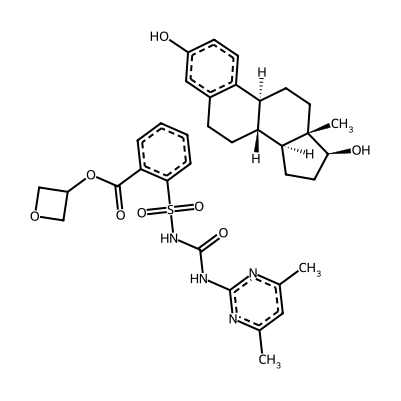 C[C@]12CC[C@@H]3c4ccc(O)cc4CC[C@H]3[C@@H]1CC[C@@H]2O.Cc1cc(C)nc(NC(=O)NS(=O)(=O)c2ccccc2C(=O)OC2COC2)n1